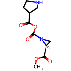 COC(=O)[C@@H]1CN1C(=O)OC(=O)C1CCNC1